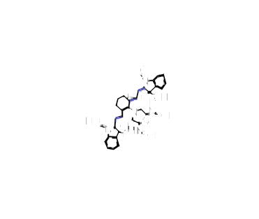 CCN1/C(=C/C=C2\CCCC(/C=C/C3=[N+](CC)c4ccccc4C3(C)C)=C2N(CC(=O)NO)CC(=O)NO)C(C)(C)c2ccccc21